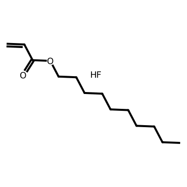 C=CC(=O)OCCCCCCCCCC.F